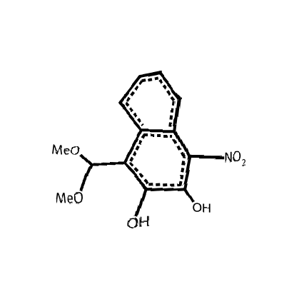 COC(OC)c1c(O)c(O)c([N+](=O)[O-])c2ccccc12